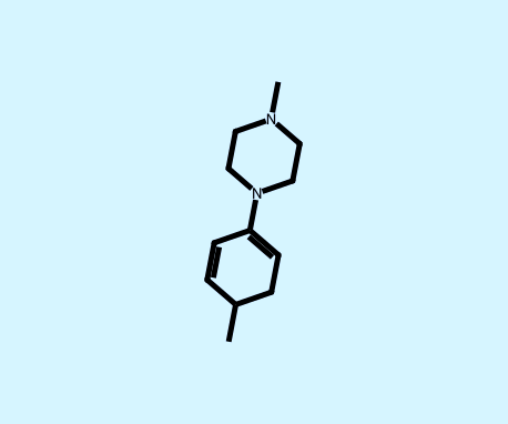 CC1C=CC(N2CCN(C)CC2)=CC1